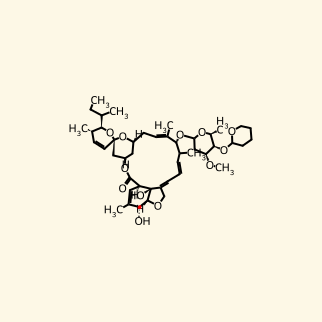 CCC(C)[C@H]1O[C@]2(C=C[C@@H]1C)C[C@@H]1C[C@@H](C/C=C(\C)[C@@H](OC3C[C@H](OC)[C@H](OC4CCCCO4)[C@H](C)O3)C(C)/C=C/C=C3\CO[C@@H]4[C@H](O)C(C)=C[C@@H](C(=O)O1)[C@]34O)O2